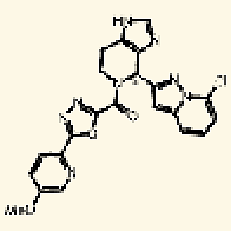 COc1ccc(-c2nnc(C(=O)N3CCc4[nH]cnc4[C@H]3c3cc4cccc(Cl)n4n3)o2)nc1